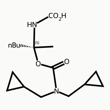 CCCC[C@@](C)(NC(=O)O)OC(=O)N(CC1CC1)CC1CC1